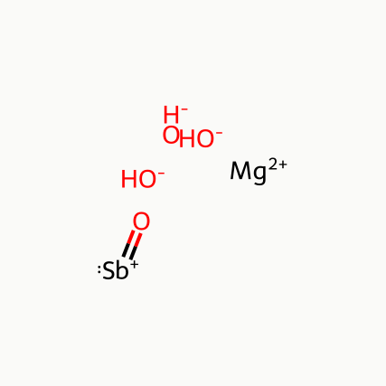 [Mg+2].[OH-].[OH-].[OH-].[O]=[Sb+]